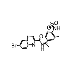 Cc1cc([C@@H](C)NC(=O)c2ccc3cc(Br)ccc3n2)ccc1NS(C)(=O)=O